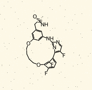 C[S@@](=N)(=O)Cc1cc2cc(c1)OCCCCOc1c(F)ccc(c1F)-c1nc(ncc1F)N2